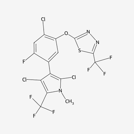 Cn1c(Cl)c(-c2cc(Oc3nnc(C(F)(F)F)s3)c(Cl)cc2F)c(Cl)c1C(F)(F)F